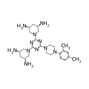 Cc1ccc(N2CCN(c3nc(N4C[C@H](N)C[C@H](N)C4)nc(N4C[C@H](N)C[C@H](N)C4)n3)CC2)c(C)c1